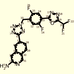 Nc1cc2cc(-c3nnn(Cc4cc(F)c(-c5nnc(C(F)F)o5)cc4F)n3)ccc2cn1